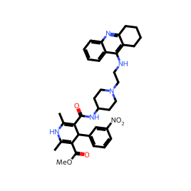 COC(=O)C1=C(C)NC(C)=C(C(=O)NC2CCN(CCNc3c4c(nc5ccccc35)CCCC4)CC2)C1c1cccc([N+](=O)[O-])c1